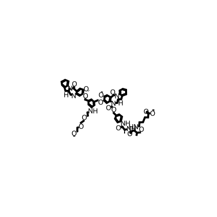 COCCOCCOCCNc1cc(COc2cc3c(cc2OC)C(=O)N2c4ccccc4C[C@H]2C=N3)cc(COc2cc3c(cc2OC)C(=O)N2c4ccccc4C[C@H]2CN3C(=O)OCc2ccc(NC(=O)[C@H](C)NC(=O)[C@@H](NC(=O)CCCCC(=O)OC)C(C)C)cc2)c1